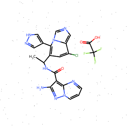 CC(NC(=O)c1c(N)nn2cccnc12)c1cc(Cl)c2cncn2c1-c1cn[nH]c1.O=C(O)C(F)(F)F